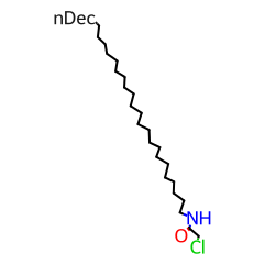 CCCCCCCCCCCCCCCCCCCCCCCCCCCCCCCCNC(=O)CCl